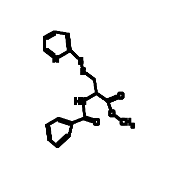 COC(=O)C(CSSc1ccccn1)NC(=O)c1ccccc1